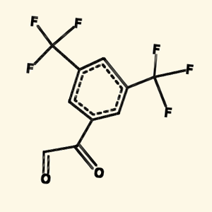 O=CC(=O)c1cc(C(F)(F)F)cc(C(F)(F)F)c1